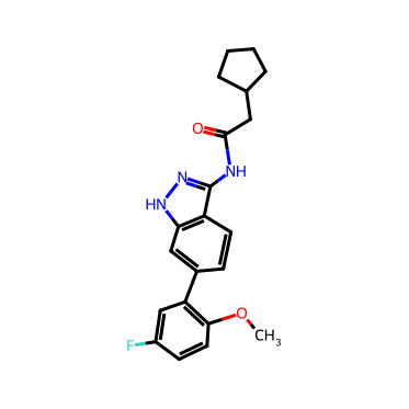 COc1ccc(F)cc1-c1ccc2c(NC(=O)CC3CCCC3)n[nH]c2c1